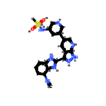 [C-]#[N+]c1cccc2[nH]c(-c3n[nH]c4ncc(-c5cncc(NS(C)(=O)=O)c5)cc34)nc12